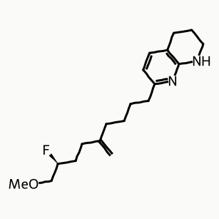 C=C(CCCCc1ccc2c(n1)NCCC2)CC[C@H](F)COC